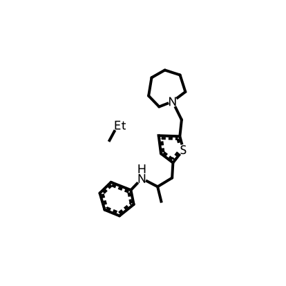 CC(Cc1ccc(CN2CCCCCC2)s1)Nc1ccccc1.CCC